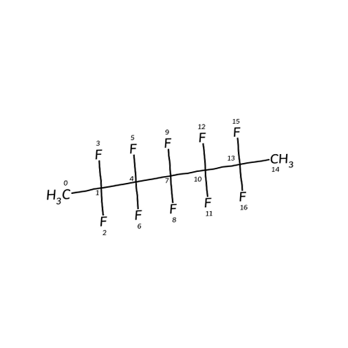 CC(F)(F)C(F)(F)C(F)(F)C(F)(F)C(C)(F)F